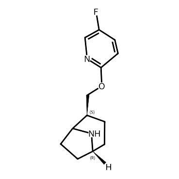 Fc1ccc(OC[C@H]2CC[C@@H]3CCC2N3)nc1